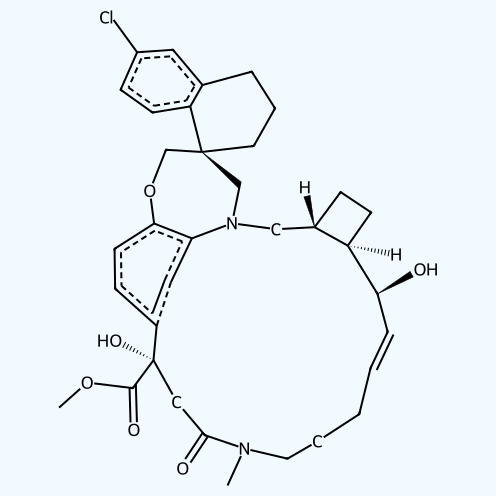 COC(=O)[C@]1(O)CC(=O)N(C)CCC/C=C\[C@H](O)[C@@H]2CC[C@H]2CN2C[C@@]3(CCCc4cc(Cl)ccc43)COc3ccc1cc32